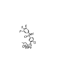 CCCC(CC(C)O)Sc1cc(C(=O)Nc2cc(F)c(F)c(F)c2)ccc1Cl